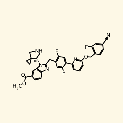 COC(=O)c1ccc2nc(Cc3cc(F)c(-c4cccc(OCc5ccc(C#N)cc5F)n4)cc3F)n([C@H]3CNCC34CC4)c2c1